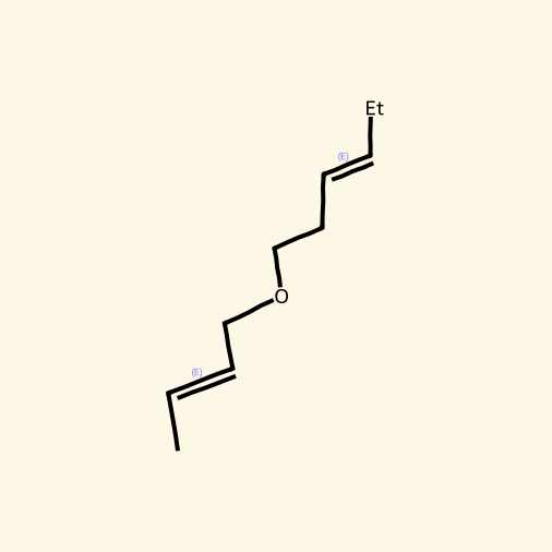 C/C=C/COCC/C=C/CC